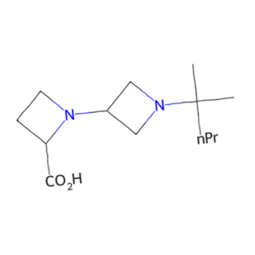 CCCC(C)(C)N1CC(N2CCC2C(=O)O)C1